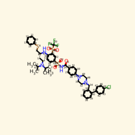 CC(C)N(CC[C@H](CSc1ccccc1)Nc1ccc(S(=O)(=O)NC(=O)c2ccc(N3CCN(Cc4ccccc4-c4ccc(Cl)cc4)CC3)cc2)cc1S(=O)(=O)C(F)(F)F)C(C)C